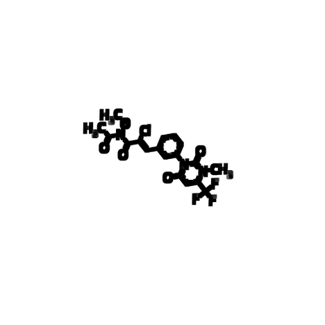 CON(C(C)=O)C(=O)C(Cl)=Cc1cccc(-n2c(=O)cc(C(F)(F)F)n(C)c2=O)c1